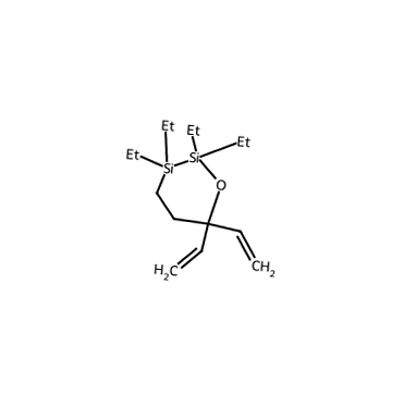 C=CC1(C=C)CC[Si](CC)(CC)[Si](CC)(CC)O1